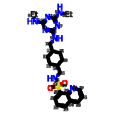 CCNc1nc(NCC)nc(NCC2CCC(CNS(=O)(=O)c3cccc4cccnc34)CC2)n1